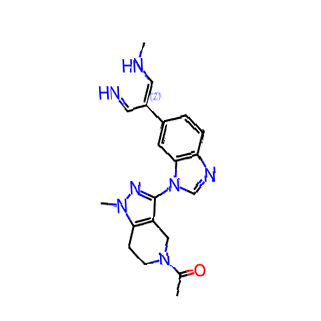 CN/C=C(\C=N)c1ccc2ncn(-c3nn(C)c4c3CN(C(C)=O)CC4)c2c1